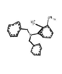 Cc1cccc(N(Cc2ccccc2)Cc2ccccc2)c1C